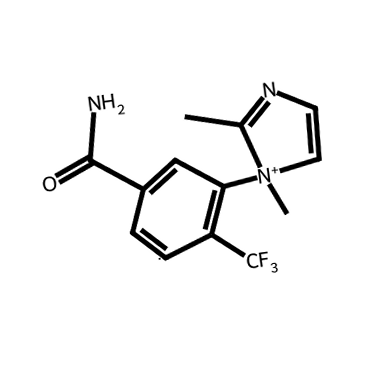 CC1=NC=C[N+]1(C)c1cc(C(N)=O)c[c]c1C(F)(F)F